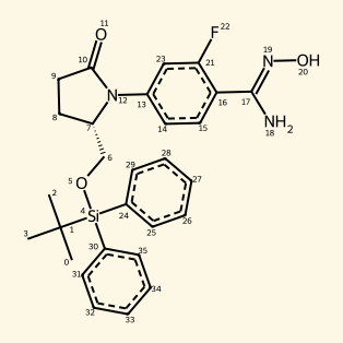 CC(C)(C)[Si](OC[C@@H]1CCC(=O)N1c1ccc(/C(N)=N/O)c(F)c1)(c1ccccc1)c1ccccc1